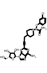 NC(=O)N(Oc1cccc(Cl)c1)N1CCC(CC#Cc2nc(N)c3ncn([C@@H]4O[C@H](CO)[C@@H](O)[C@H]4O)c3n2)CC1